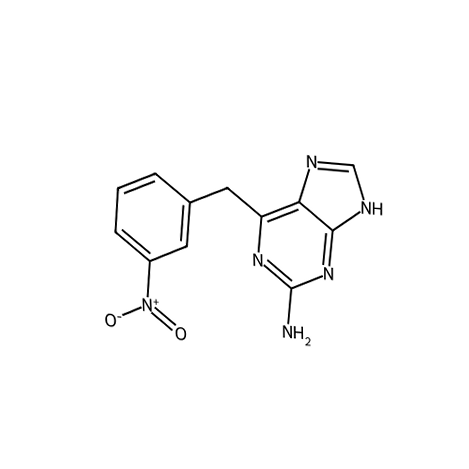 Nc1nc(Cc2cccc([N+](=O)[O-])c2)c2nc[nH]c2n1